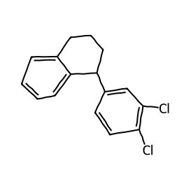 Clc1ccc(C2CCCc3ccccc32)cc1Cl